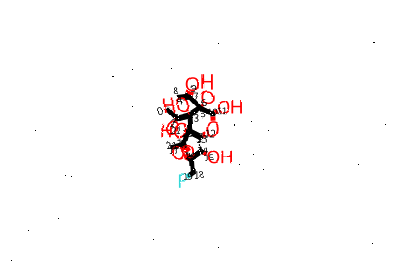 CC(=O)[C@@]1(O)[C@](O)(C(C)=O)C(O)O[C@H](C(O)C(=O)CF)[C@@]1(O)C(C)=O